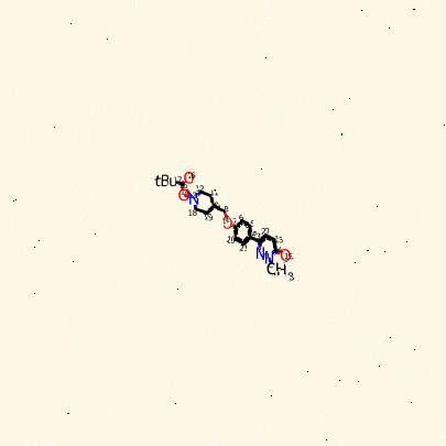 Cn1nc(-c2ccc(OCC3CCN(OC(=O)C(C)(C)C)CC3)cc2)ccc1=O